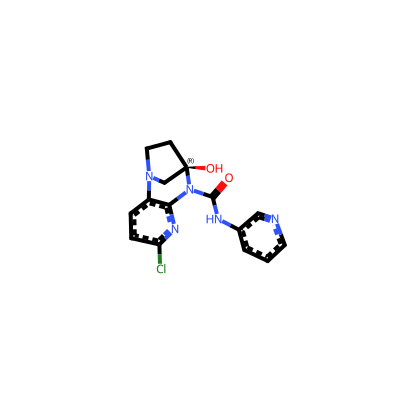 O=C(Nc1cccnc1)N1c2nc(Cl)ccc2N2CC[C@@]1(O)C2